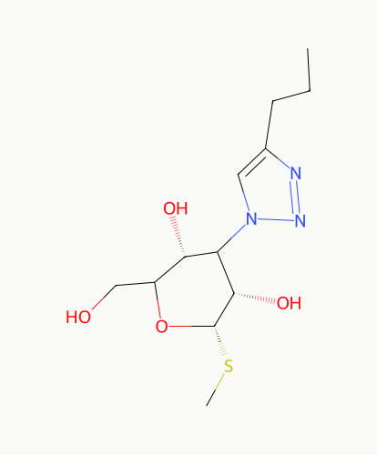 CCCc1cn(C2[C@@H](O)C(CO)O[C@@H](SC)[C@H]2O)nn1